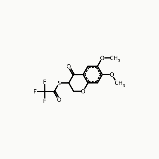 COc1cc2c(cc1OC)C(=O)C(SC(=O)C(F)(F)F)CO2